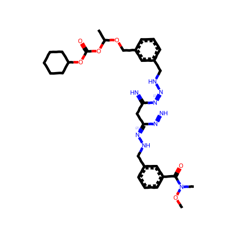 CON(C)C(=O)c1cccc(CN/N=C(/CC(=N)/N=N\NCc2cccc(COC(C)OC(=O)OC3CCCCC3)c2)N=N)c1